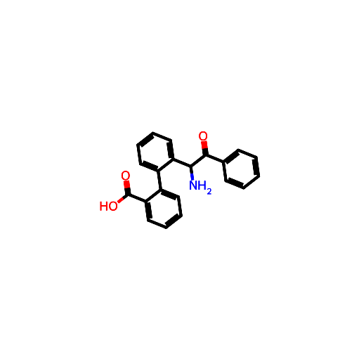 NC(C(=O)c1ccccc1)c1ccccc1-c1ccccc1C(=O)O